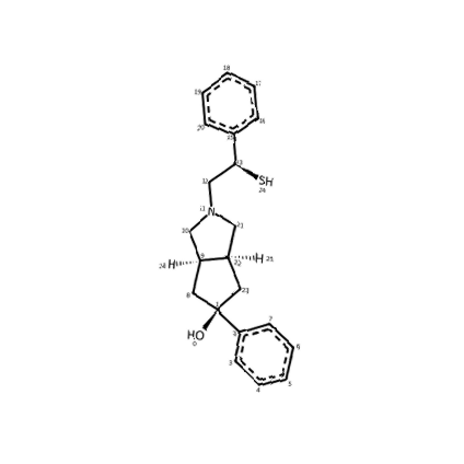 O[C@@]1(c2ccccc2)C[C@H]2CN(C[C@H](S)c3ccccc3)C[C@H]2C1